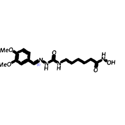 COc1ccc(/C=N/NC(=O)NCCCCCC(=O)NO)cc1OC